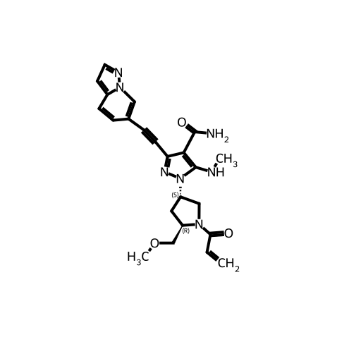 C=CC(=O)N1C[C@@H](n2nc(C#Cc3ccc4ccnn4c3)c(C(N)=O)c2NC)C[C@@H]1COC